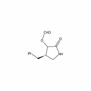 CC(C)C[C@@H]1CNC(=O)C1OC=O